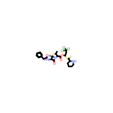 CC1S[C@H]2C(NC(=O)Cc3ccccc3)C(=O)N2C1C(=O)OC(CC(Cl)(Cl)Cl)SC(=S)C1CCCCN1